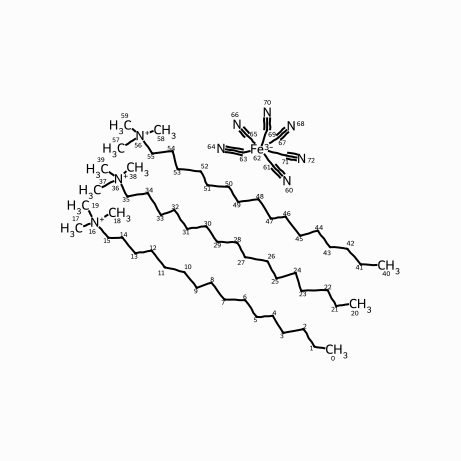 CCCCCCCCCCCCCCCC[N+](C)(C)C.CCCCCCCCCCCCCCCC[N+](C)(C)C.CCCCCCCCCCCCCCCC[N+](C)(C)C.N#[C][Fe-3]([C]#N)([C]#N)([C]#N)([C]#N)[C]#N